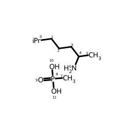 CC(C)CCCC(C)N.CP(=O)(O)O